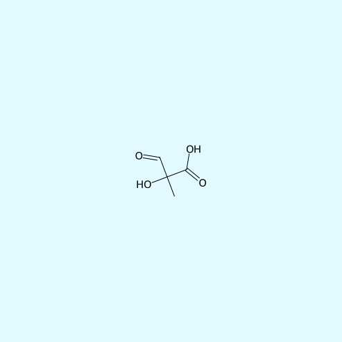 CC(O)(C=O)C(=O)O